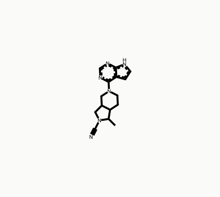 CC1C2CCN(c3ncnc4[nH]ccc34)CC2CN1C#N